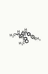 C=CCNC(=O)c1cnc(Nc2ccc(N3CCN(C)CC3)cc2)nc1Nc1ccc2c(n1)C(C)CCC2